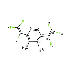 Cc1c(C(F)=C(F)F)ccc(C(F)=C(F)F)c1C